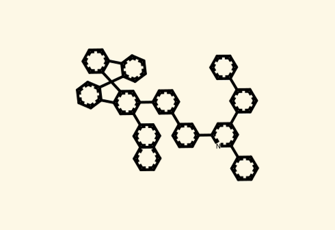 c1ccc(-c2cccc(-c3cc(-c4ccccc4)nc(-c4cccc(-c5cccc(-c6cc7c(cc6-c6ccc8ccccc8c6)-c6ccccc6C76c7ccccc7-c7ccccc76)c5)c4)c3)c2)cc1